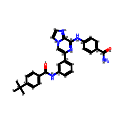 CC(C)(C)c1ccc(C(=O)Nc2cccc(-c3cn4ccnc4c(Nc4ccc(C(N)=O)cc4)n3)c2)cc1